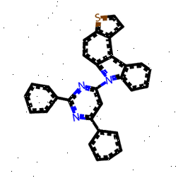 c1ccc(-c2cc(-n3c4ccccc4c4c5ccsc5ccc43)nc(-c3ccccc3)n2)cc1